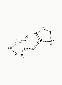 c1ncc2cc3c(cc2n1)NCC3